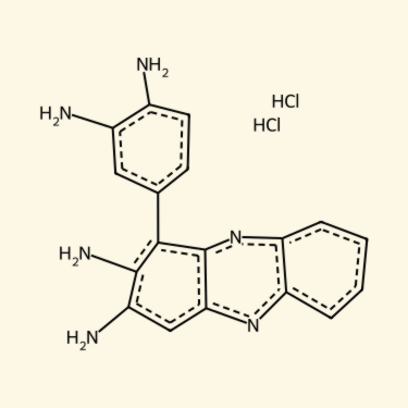 Cl.Cl.Nc1ccc(-c2c(N)c(N)cc3nc4ccccc4nc23)cc1N